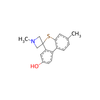 Cc1ccc2c(c1)SC1(CN(C)C1)c1cc(O)ccc1-2